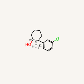 O=C(O)[C@@]1(c2cccc(Cl)c2)CCCC[C@@H]1O